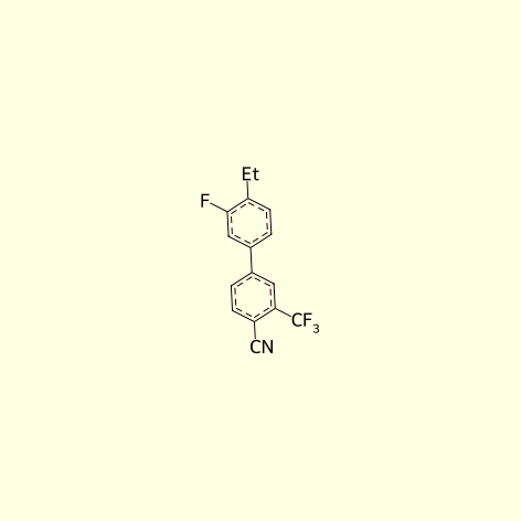 CCc1ccc(-c2ccc(C#N)c(C(F)(F)F)c2)cc1F